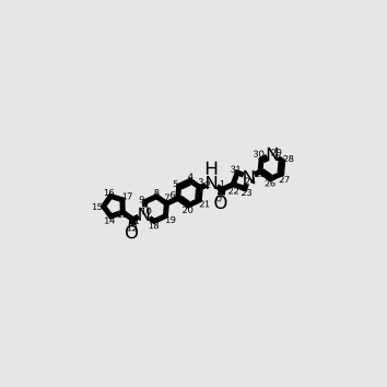 O=C(Nc1ccc(C2CCN(C(=O)C3CCCC3)CC2)cc1)C1CN(c2cccnc2)C1